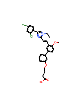 CCn1cc(-c2ccc(Cl)cc2Cl)nc1/C=C/c1cc(-c2cccc(OCCCC(=O)O)c2)ccc1OC